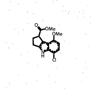 COC(=O)C1CCc2[nH]c3c(Cl)ccc(OC)c3c21